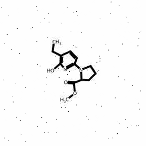 CCc1ccc(N2CCCC2C(=O)OC)nc1O